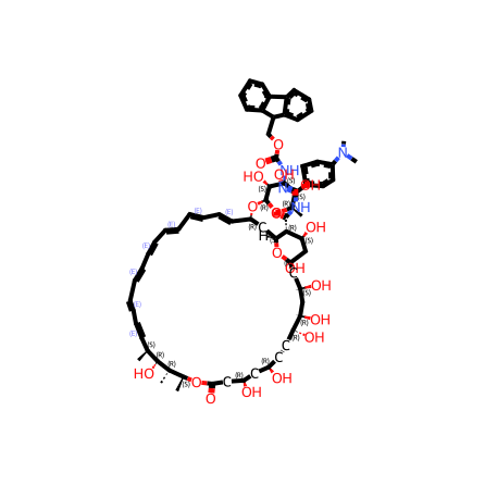 C[C@@H]1[C@H](O)[C@@H](C)/C=C/C=C/C=C/C=C/C=C/C=C/C=C/[C@H](O[C@@H]2O[C@H](C)[C@@H](O)[C@H](NC(=O)OCC3c4ccccc4-c4ccccc43)[C@@H]2O)C[C@@H]2O[C@](O)(C[C@@H](O)C[C@@H](O)[C@H](O)CC[C@@H](O)C[C@@H](O)CC(=O)O[C@H]1C)C[C@H](O)[C@H]2C(=O)NC(=NO)c1ccc(N(C)C)cc1